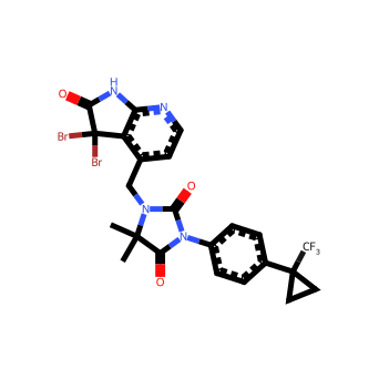 CC1(C)C(=O)N(c2ccc(C3(C(F)(F)F)CC3)cc2)C(=O)N1Cc1ccnc2c1C(Br)(Br)C(=O)N2